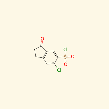 O=C1CCc2cc(Cl)c(S(=O)(=O)Cl)cc21